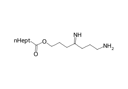 CCCCCCCC(=O)OCCCC(=N)CCCN